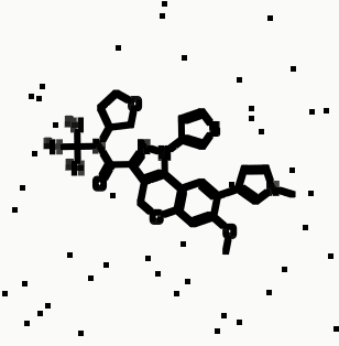 [2H]C([2H])([2H])N(C(=O)c1nn(-c2ccsc2)c2c1COc1cc(OC)c(-c3ccn(C)c3)cc1-2)C1CCOC1